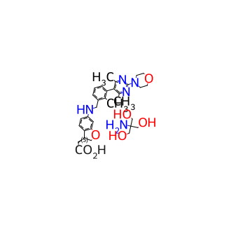 Cc1nc(N2CCOCC2)nc(C)c1-c1cccc(CNc2ccc3c(c2)OC[C@H]3CC(=O)O)c1C.NC(CO)(CO)CO